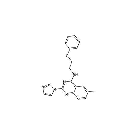 Cc1ccc2nc(-n3ccnc3)nc(NCCOc3ccccc3)c2c1